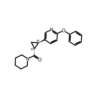 O=C([C@@H]1C[C@H]1c1ccc(Oc2ccccc2)nc1)N1CCCCC1